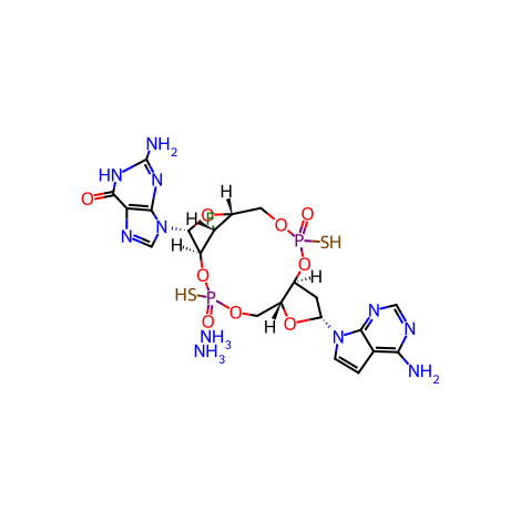 N.N.Nc1nc2c(ncn2[C@@H]2O[C@@H]3COP(=O)(S)O[C@H]4C[C@H](n5ccc6c(N)ncnc65)O[C@@H]4COP(=O)(S)O[C@@H]2[C@@H]3F)c(=O)[nH]1